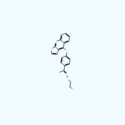 C/C(=N\OCCN)c1ccc(Nc2c3ccccc3nc3occc23)cc1